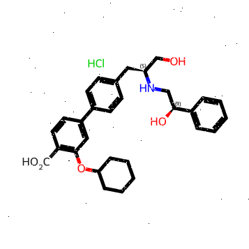 Cl.O=C(O)c1ccc(-c2ccc(C[C@@H](CO)NC[C@H](O)c3ccccc3)cc2)cc1OC1CCCCC1